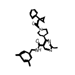 Cc1cc(C)cc(CNC(=O)c2cnc(C)nc2C2CCN(C(=O)C3(c4ccccc4)CC3)CC2)c1